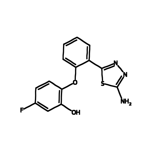 Nc1nnc(-c2ccccc2Oc2ccc(F)cc2O)s1